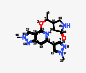 CC(Oc1nc(-c2cnn(C)c2)cc2nn(C)cc12)C1CNC(=O)C1